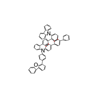 c1ccc(-c2ccc(-c3ccc(N(c4ccc(-c5cccc6c5oc5ccccc56)cc4)c4ccccc4-c4ccc(-c5ccccc5-n5c6ccccc6c6ccccc65)cc4)cc3)cc2)cc1